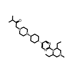 CCC1CN(C)CC(CC)N1c1ncc([C@H]2CC[C@H](N3CCN(CC(=O)C(C)C)CC3)CC2)cn1